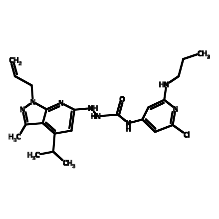 C=CCn1nc(C)c2c(C(C)C)cc(NNC(=O)Nc3cc(Cl)nc(NCCC)c3)nc21